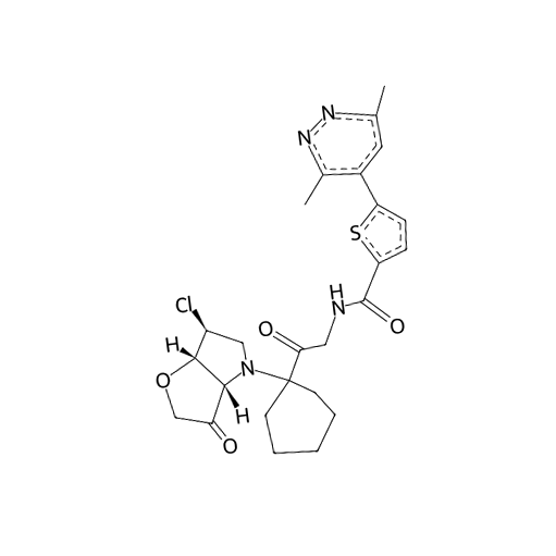 Cc1cc(-c2ccc(C(=O)NCC(=O)C3(N4C[C@H](Cl)[C@H]5OCC(=O)[C@H]54)CCCCC3)s2)c(C)nn1